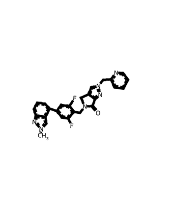 Cn1cc2c(-c3cc(F)c(CN4Cc5cn(Cc6ccccn6)nc5C4=O)c(F)c3)cccc2n1